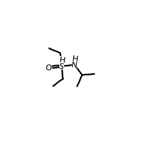 CC[SH](=O)(CC)NC(C)C